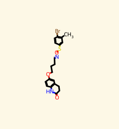 Cc1cc(SON=CCCCOc2ccc3c(c2)CCC(=O)N3)ccc1Br